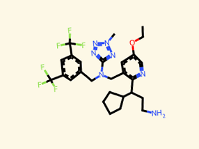 CCOc1cnc(C(CCN)C2CCCC2)c(CN(Cc2cc(C(F)(F)F)cc(C(F)(F)F)c2)c2nnn(C)n2)c1